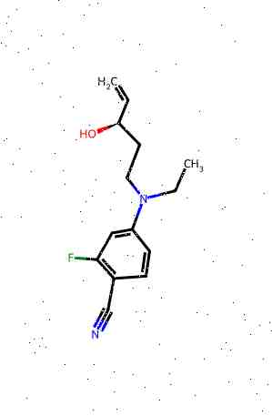 C=C[C@H](O)CCN(CC)c1ccc(C#N)c(F)c1